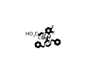 O=C(O)C(=CNc1ccc(F)c(F)c1OCC1CN(Cc2ccccc2)CCN1Cc1ccccc1)C(=O)O